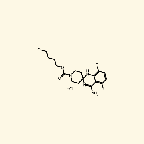 Cl.NC1=NC2(CCN(C(=O)OCCCCCl)CC2)Nc2c(F)ccc(F)c21